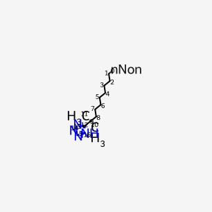 CCCCCCCCCCCCCCCCCC(C)(C)c1nnn[nH]1